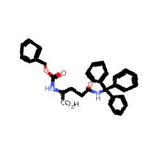 O=C(CCC(NC(=O)OCc1ccccc1)C(=O)O)NC(c1ccccc1)(c1ccccc1)c1ccccc1